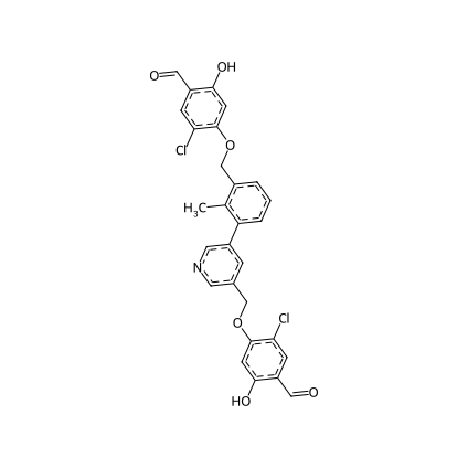 Cc1c(COc2cc(O)c(C=O)cc2Cl)cccc1-c1cncc(COc2cc(O)c(C=O)cc2Cl)c1